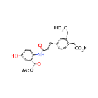 COC(=O)c1cc(O)ccc1NC(=O)/C=C/c1ccc(CC(=O)O)c(CC(=O)O)c1